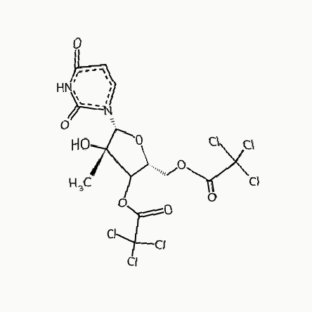 C[C@]1(O)C(OC(=O)C(Cl)(Cl)Cl)[C@@H](COC(=O)C(Cl)(Cl)Cl)O[C@H]1n1ccc(=O)[nH]c1=O